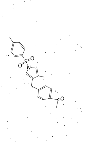 CC(=O)c1ccc(Cc2cn(S(=O)(=O)c3ccc(C)cc3)cc2C)cc1